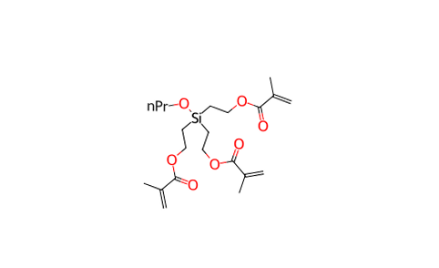 C=C(C)C(=O)OCC[Si](CCOC(=O)C(=C)C)(CCOC(=O)C(=C)C)OCCC